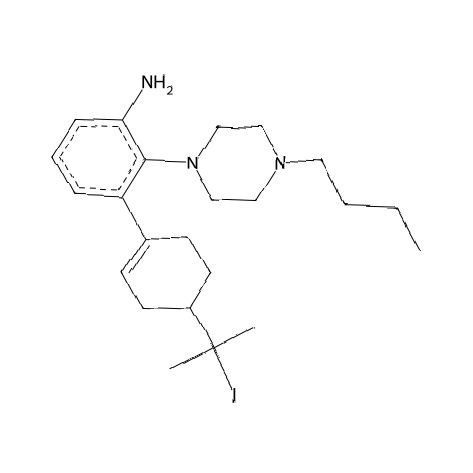 CCCCN1CCN(c2c(N)cccc2C2=CCC(C(C)(C)I)CC2)CC1